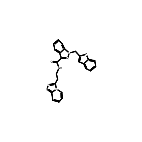 O=C(NCCc1nnc2ccccn12)c1nn(Cc2cc3ccccc3o2)c2ccccc12